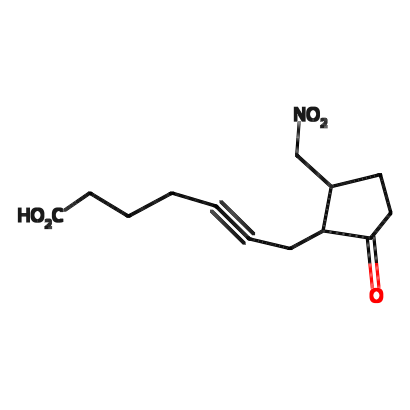 O=C(O)CCCC#CCC1C(=O)CCC1C[N+](=O)[O-]